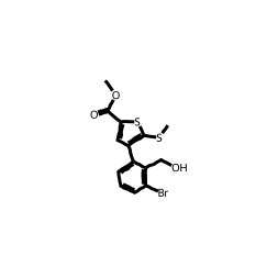 COC(=O)c1cc(-c2cccc(Br)c2CO)c(SC)s1